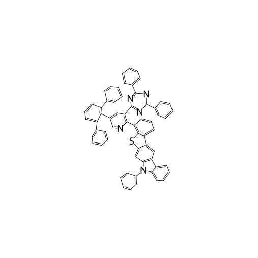 c1ccc(-c2nc(-c3ccccc3)nc(-c3cc(-c4c(-c5ccccc5)cccc4-c4ccccc4)cnc3-c3cccc4c3sc3cc5c(cc34)c3ccccc3n5-c3ccccc3)n2)cc1